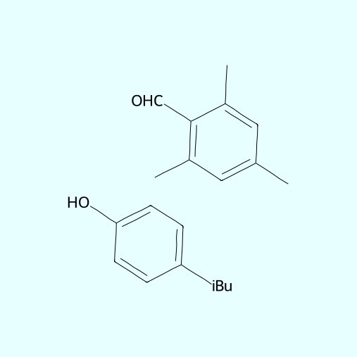 CCC(C)c1ccc(O)cc1.Cc1cc(C)c(C=O)c(C)c1